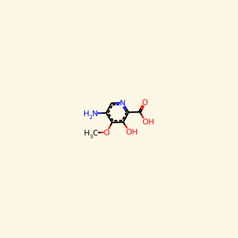 COc1c(N)cnc(C(=O)O)c1O